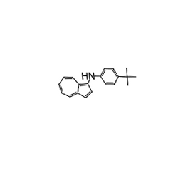 CC(C)(C)c1ccc(Nc2ccc3cccccc2-3)cc1